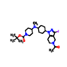 CC(=O)N1CCc2c(c(I)nn2C2CCC(N(C)C3CCN(C(=O)OC(C)(C)C)CC3)CC2)C1